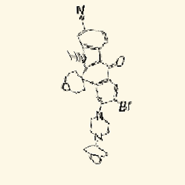 N#Cc1ccc2c3c([nH]c2c1)C1(CCOCC1)c1cc(N2CCN(C4COC4)CC2)c(Br)cc1C3=O